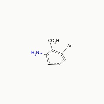 CC(=O)c1cccc(N)c1C(=O)O